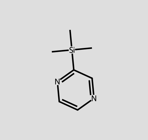 C[Si](C)(C)c1cnccn1